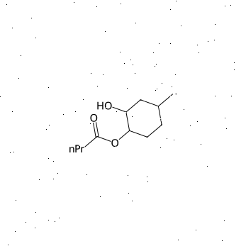 [CH2]C1CCC(OC(=O)CCC)C(O)C1